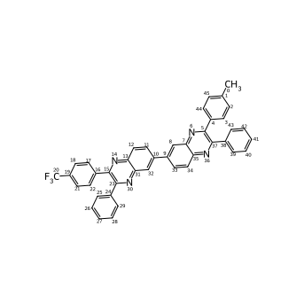 Cc1ccc(-c2nc3cc(-c4ccc5nc(-c6ccc(C(F)(F)F)cc6)c(-c6ccccc6)nc5c4)ccc3nc2-c2ccccc2)cc1